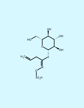 C=CC/C(=N\OS(=O)(=O)O)S[C@@H]1O[C@H](CO)[C@@H](O)[C@H](O)[C@H]1O